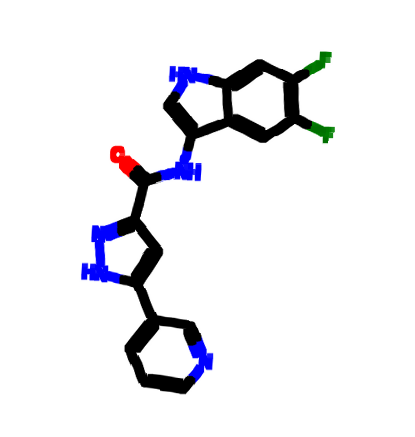 O=C(Nc1c[nH]c2cc(F)c(F)cc12)c1cc(-c2cccnc2)[nH]n1